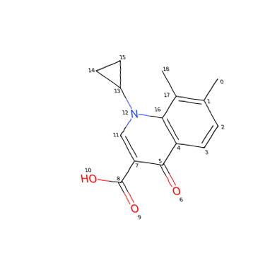 Cc1ccc2c(=O)c(C(=O)O)cn(C3CC3)c2c1C